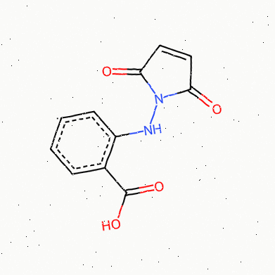 O=C(O)c1cc[c]cc1NN1C(=O)C=CC1=O